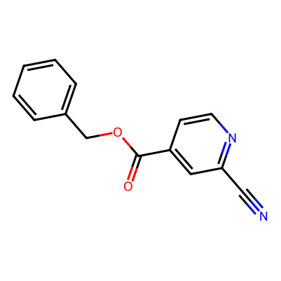 N#Cc1cc(C(=O)OCc2ccccc2)ccn1